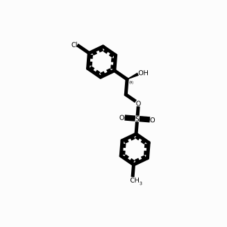 Cc1ccc(S(=O)(=O)OC[C@H](O)c2ccc(Cl)cc2)cc1